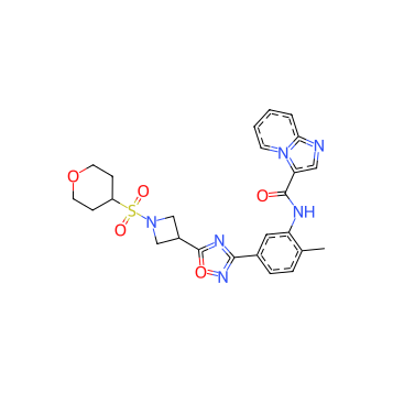 Cc1ccc(-c2noc(C3CN(S(=O)(=O)C4CCOCC4)C3)n2)cc1NC(=O)c1cnc2ccccn12